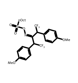 CCCCCCCCS(=O)(=O)ON=C(C(c1ccc(OC)cc1)C(F)(F)F)C(c1ccc(OC)cc1)C(F)(F)F